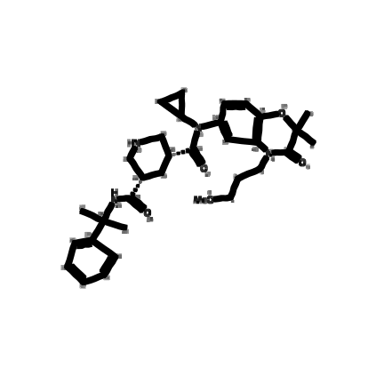 COCCCN1C(=O)C(C)(C)Oc2ccc(N(C(=O)[C@H]3CNC[C@@H](C(=O)NC(C)(C)c4ccccc4)C3)C3CC3)cc21